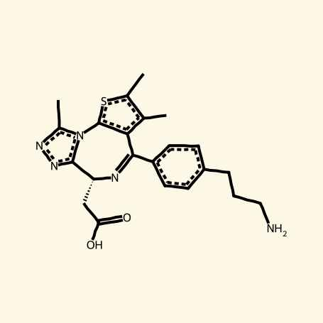 Cc1sc2c(c1C)C(c1ccc(CCCN)cc1)=N[C@H](CC(=O)O)c1nnc(C)n1-2